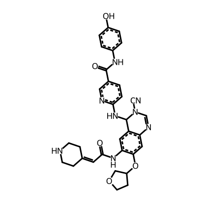 N#CN1C=Nc2cc(OC3CCOC3)c(NC(=O)C=C3CCNCC3)cc2C1Nc1ccc(C(=O)Nc2ccc(O)cc2)cn1